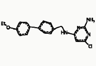 CCOc1ccc(-c2ccc(CNc3cc(Cl)nc(N)n3)cc2)cc1